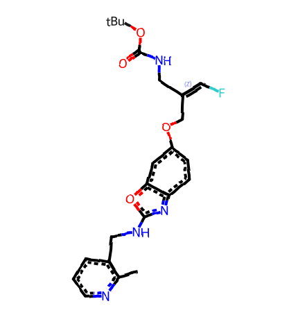 Cc1ncccc1CNc1nc2ccc(OC/C(=C\F)CNC(=O)OC(C)(C)C)cc2o1